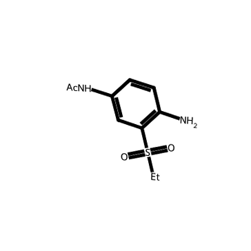 CCS(=O)(=O)c1cc(NC(C)=O)ccc1N